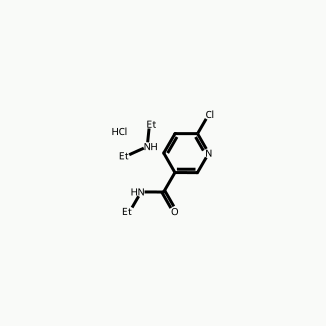 CCNC(=O)c1ccc(Cl)nc1.CCNCC.Cl